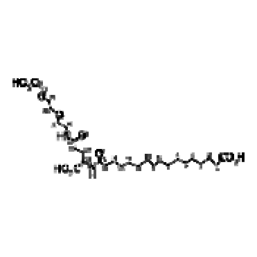 O=C(O)CCCCCCCCCCCCCCCC(=O)N[C@@H](CCC(=O)NCCOCCOCC(=O)O)C(=O)O